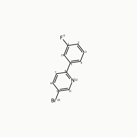 Fc1cccc(-c2ccc(Br)cn2)c1